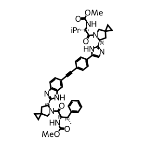 COC(=O)N[C@H](C(=O)N1CC2(CC2)C[C@H]1c1ncc(-c2ccc(C#Cc3ccc4nc([C@@H]5CC6(CC6)CN5C(=O)[C@@H](NC(=O)OC)[C@@H](C)c5ccccc5)[nH]c4c3)cc2)[nH]1)C(C)C